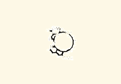 COC(=O)[C@@H]1C[C@@H]2CN1C(=O)CNCCCCCC=Cc1cc3c(nccc3cc1OC)O2